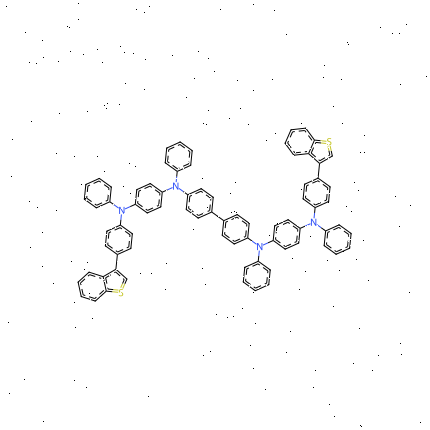 c1ccc(N(c2ccc(-c3ccc(N(c4ccccc4)c4ccc(N(c5ccccc5)c5ccc(-c6csc7ccccc67)cc5)cc4)cc3)cc2)c2ccc(N(c3ccccc3)c3ccc(-c4csc5ccccc45)cc3)cc2)cc1